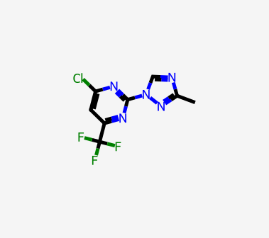 Cc1ncn(-c2nc(Cl)cc(C(F)(F)F)n2)n1